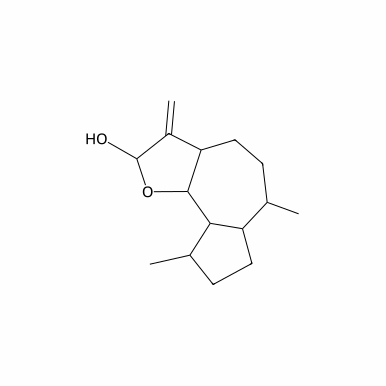 C=C1C(O)OC2C1CCC(C)C1CCC(C)C12